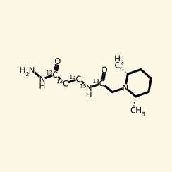 C[C@@H]1CCC[C@H](C)N1C[13C](=O)[15NH][13CH2][13CH2][13C](=O)NN